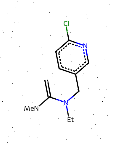 C=C(NC)N(CC)Cc1ccc(Cl)nc1